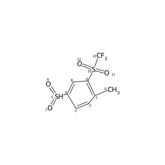 Cc1ccc([SH](=O)=O)cc1S(=O)(=O)C(F)(F)F